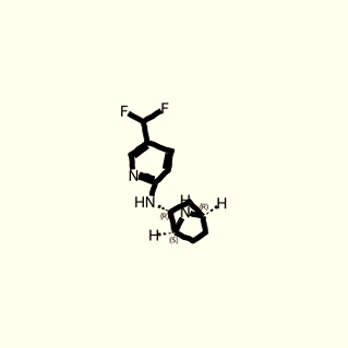 FC(F)c1ccc(N[C@@H]2C[C@H]3CC[C@@H]2N3)nc1